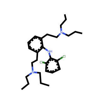 CCCN(CCC)CCc1cccc(CCN(CCC)CCC)c1Nc1c(Cl)cccc1Cl